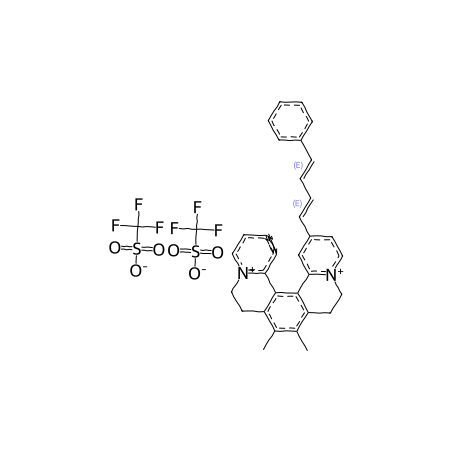 Cc1c(C)c2c(c3c1CC[n+]1ccc(/C=C/C=C/c4ccccc4)cc1-3)-c1c3ccccc3cc[n+]1CC2.O=S(=O)([O-])C(F)(F)F.O=S(=O)([O-])C(F)(F)F